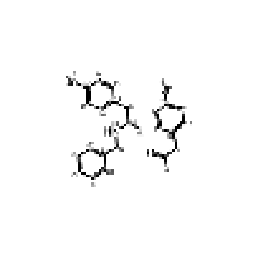 CC(=O)Cc1ccc(Br)cc1.CC(Cc1ccc(Br)cc1)NCc1ccccc1